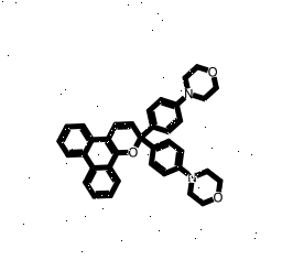 C1=CC(c2ccc(N3CCOCC3)cc2)(c2ccc(N3CCOCC3)cc2)Oc2c1c1ccccc1c1ccccc21